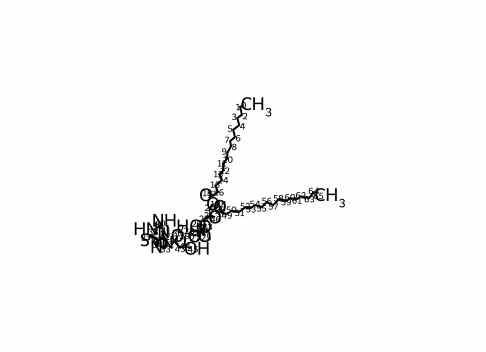 CCCCCCCCCCCCCCCCCC(=O)OC[C@H](COP(=O)(O)OC[C@H]1O[C@@H](n2cnc3c(=S)[nH]c(N)nc32)C[C@@H]1O)OC(=O)CCCCCCCCCCCCCCCCC